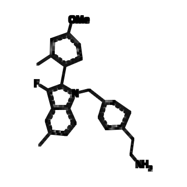 COc1ccc(-c2c(F)c3cc(C)ccc3n2Cc2ccc(CCN)cc2)c(C)c1